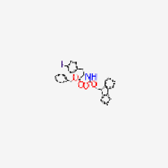 O=C(NC(Cc1ccc(I)cc1)C(=O)OCc1ccccc1)OCC1c2ccccc2-c2ccccc21